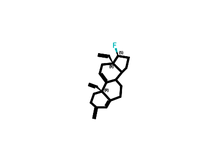 C=C[C@]12CCC(=C)C=C1CCC1C2=CC[C@@]2(C=C)C1CC[C@@H]2F